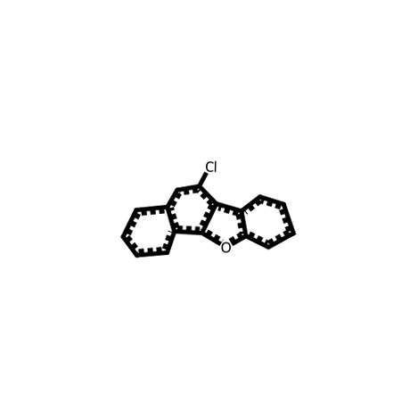 Clc1cc2ccccc2c2oc3ccccc3c12